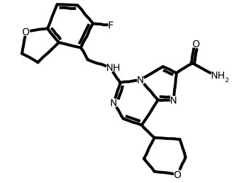 NC(=O)c1cn2c(NCc3c(F)ccc4c3CCO4)ncc(C3CCOCC3)c2n1